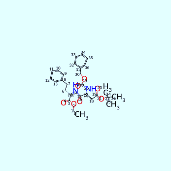 CCOC(=O)[C@H](CCc1ccccc1)NC(=O)[C@H](CC(=O)OC(C)(C)C)NC(=O)OCc1ccccc1